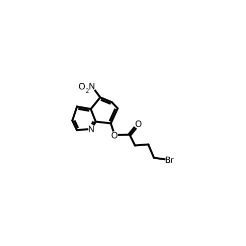 O=C(CCCBr)Oc1ccc([N+](=O)[O-])c2cccnc12